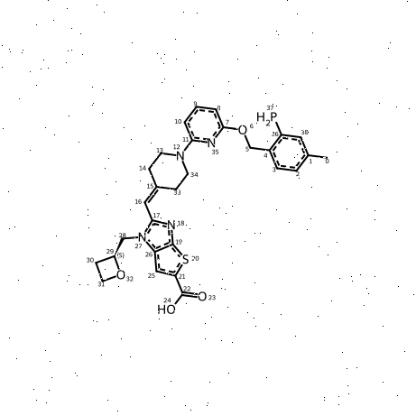 Cc1ccc(COc2cccc(N3CCC(=Cc4nc5sc(C(=O)O)cc5n4C[C@@H]4CCO4)CC3)n2)c(P)c1